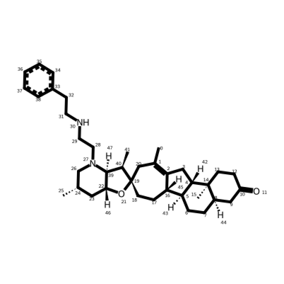 CC1=C2C[C@H]3[C@@H](CC[C@@H]4CC(=O)CC[C@@]43C)[C@@H]2CC[C@@]2(C1)O[C@@H]1C[C@H](C)CN(CCNCCc3ccccc3)[C@H]1[C@H]2C